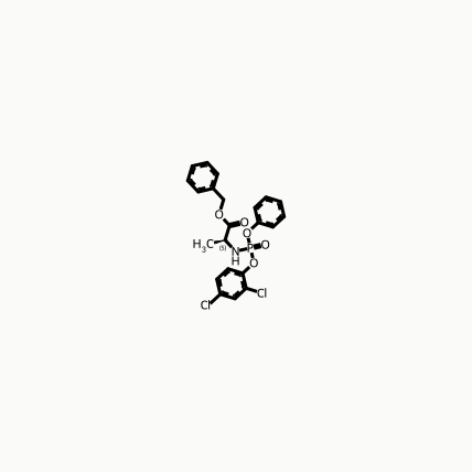 C[C@H](NP(=O)(Oc1ccccc1)Oc1ccc(Cl)cc1Cl)C(=O)OCc1ccccc1